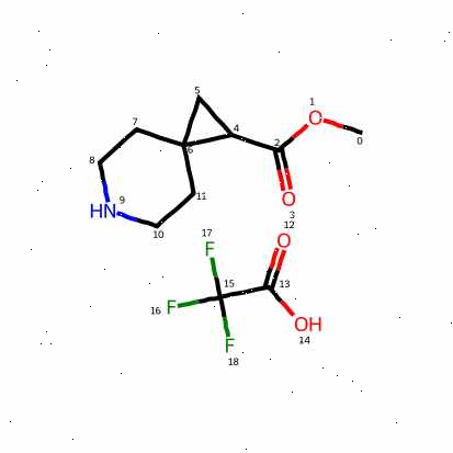 COC(=O)C1CC12CCNCC2.O=C(O)C(F)(F)F